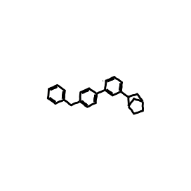 [c]1ccc(C2CC3CCC2C3)cc1-c1ccc(Cc2ccccc2)cc1